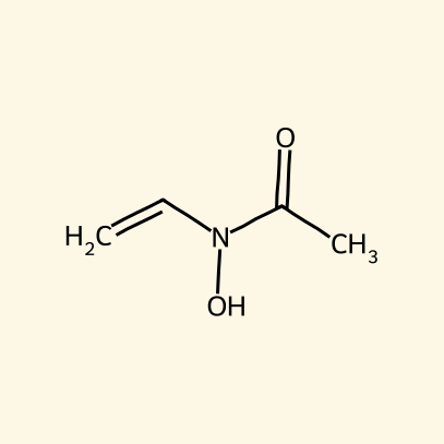 C=CN(O)C(C)=O